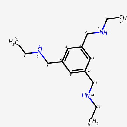 CCNCc1[c]c(CNCC)cc(CNCC)c1